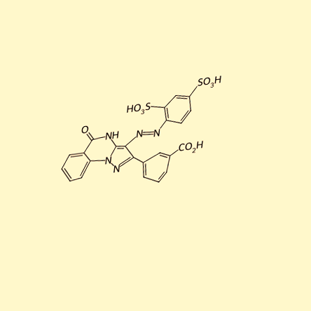 O=C(O)c1cccc(-c2nn3c([nH]c(=O)c4ccccc43)c2/N=N/c2ccc(S(=O)(=O)O)cc2S(=O)(=O)O)c1